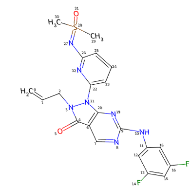 C=CCn1c(=O)c2cnc(Nc3cc(F)cc(F)c3)nc2n1-c1cccc(N=S(C)(C)=O)n1